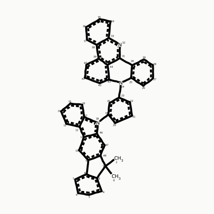 CC1(C)c2ccccc2-c2cc3c4ccccc4n(-c4cccc(N5c6ccccc6-c6nc7ccccc7c7cccc5c67)c4)c3cc21